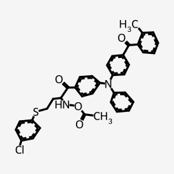 CC(=O)ONC(CCSc1ccc(Cl)cc1)C(=O)c1ccc(N(c2ccccc2)c2ccc(C(=O)c3ccccc3C)cc2)cc1